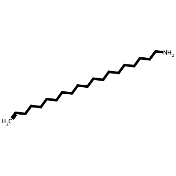 C=CCCCCCCCCCCCCCCCCCCN